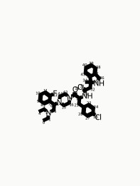 CCN(CC)CC(c1ccccc1F)N1CCN(C(=O)C(Cc2ccc(Cl)cc2)NC(=O)CC2(C)NCc3ccccc32)CC1